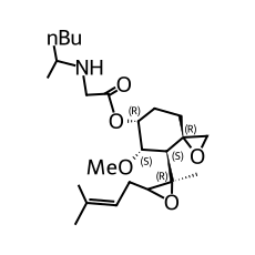 CCCCC(C)NCC(=O)O[C@@H]1CC[C@]2(CO2)[C@@H]([C@@]2(C)OC2CC=C(C)C)[C@@H]1OC